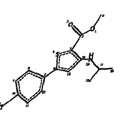 COC(=O)c1sc(-c2ccc(Cl)cc2)cc1NC(C)C